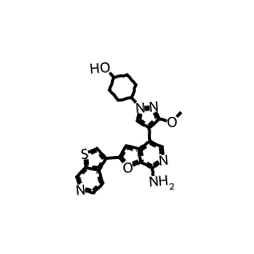 COc1nn(C2CCC(O)CC2)cc1-c1cnc(N)c2oc(-c3csc4cnccc34)cc12